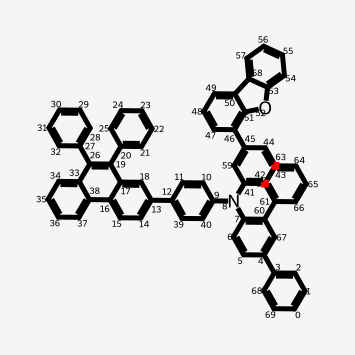 c1ccc(-c2ccc(N(c3ccc(-c4ccc5c(c4)c(-c4ccccc4)c(-c4ccccc4)c4ccccc45)cc3)c3cccc(-c4cccc5c4oc4ccccc45)c3)c(-c3ccccc3)c2)cc1